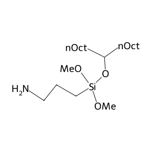 CCCCCCCCC(CCCCCCCC)O[Si](CCCN)(OC)OC